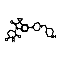 O=C1CCC(N2C(=O)C3(CC3)c3cc(N4CCN(CC5CCNCC5)CC4)ccc32)C(=O)N1